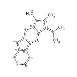 C=c1c(=C(C)C)c2cc3c(cc2n1C)sc1ccccc13